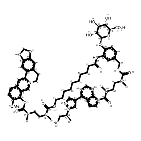 COc1ccc2cc3[n+](cc2c1OC(=O)N(C)CCN(C)C(=O)OCCCCCCCCCC(=O)Nc1cc(COC(=O)N(C)CCN(C)C(=O)n2ccc4c(-c5cnn([C@@H](C)CC#N)c5)ncnc42)ccc1O[C@@H]1O[C@H](C(=O)O)[C@@H](O)[C@H](O)[C@H]1O)CCc1cc2c(cc1-3)OCO2